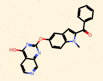 Cn1c(C(=O)c2ccccc2)cc2cc(Oc3nc(O)c4ccncc4n3)ccc21